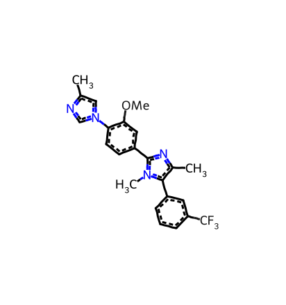 COc1cc(-c2nc(C)c(-c3cccc(C(F)(F)F)c3)n2C)ccc1-n1cnc(C)c1